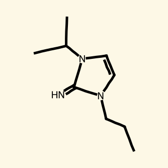 CCCn1ccn(C(C)C)c1=N